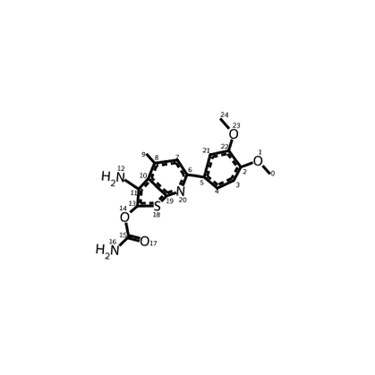 COc1ccc(-c2cc(C)c3c(N)c(OC(N)=O)sc3n2)cc1OC